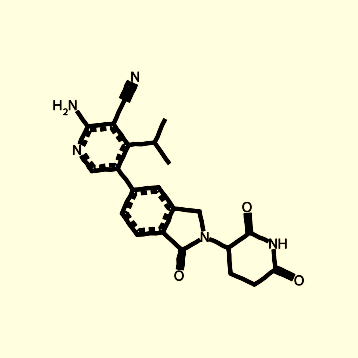 CC(C)c1c(-c2ccc3c(c2)CN(C2CCC(=O)NC2=O)C3=O)cnc(N)c1C#N